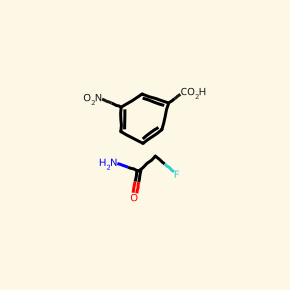 NC(=O)CF.O=C(O)c1cccc([N+](=O)[O-])c1